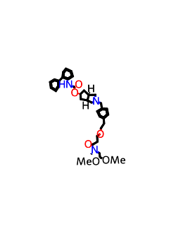 COC(CN(C)C(=O)CCOCCc1ccc(CN2C[C@H]3C[C@@H](OC(=O)Nc4ccccc4-c4ccccc4)C[C@H]3C2)cc1)OC